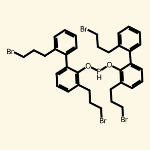 BrCCCc1ccccc1-c1cccc(CCCBr)c1OPOc1c(CCCBr)cccc1-c1ccccc1CCCBr